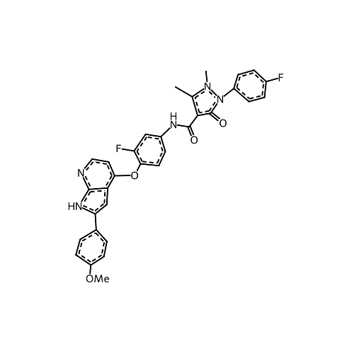 COc1ccc(-c2cc3c(Oc4ccc(NC(=O)c5c(C)n(C)n(-c6ccc(F)cc6)c5=O)cc4F)ccnc3[nH]2)cc1